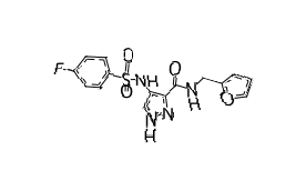 O=C(NCc1ccco1)c1n[nH]cc1NS(=O)(=O)c1ccc(F)cc1